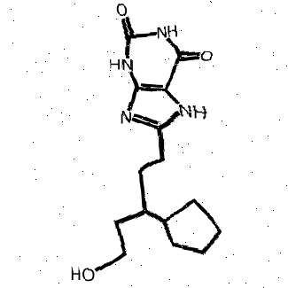 O=c1[nH]c(=O)c2[nH]c(CCC(CCO)C3CCCC3)nc2[nH]1